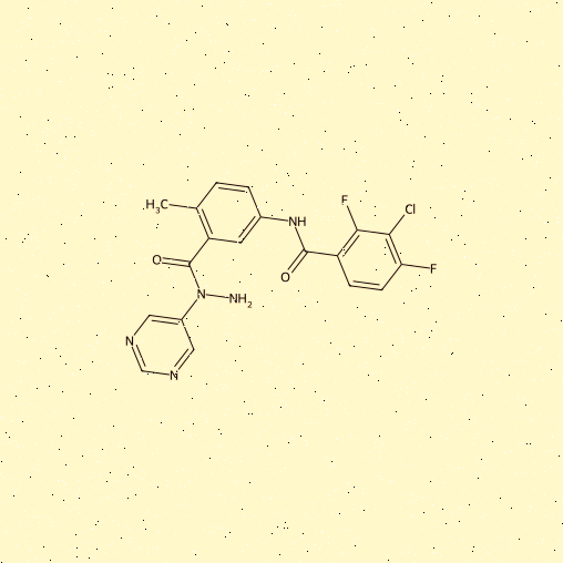 Cc1ccc(NC(=O)c2ccc(F)c(Cl)c2F)cc1C(=O)N(N)c1cncnc1